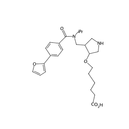 CC(C)N(CC1CNCC1OCCCCCC(=O)O)C(=O)c1ccc(-c2ccco2)cc1